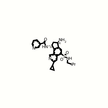 CC(C)CNS(=O)(=O)c1cc2c(c3cnc(C4CC4)cc13)[C@H](NC(=O)c1cccnc1)C[C@H]2N